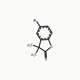 CC1(C)C(=O)Oc2ccc(Br)cc21